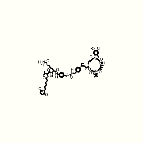 COc1ccc(C[C@H]2NC(=O)/C=C/C[C@@H]([C@H](C)[C@H]3CC[C@@H]3c3ccc(CNC(=O)OCc4ccc(NC(=O)C(CCCNC(N)=O)NC(=O)[C@@H](NC(=O)CCCCCN5C(=O)C=CC5=O)C(C)C)cc4)cc3)OC(=O)[C@H](CC(C)(C)C)NC(=O)C(C)(C)[C@H](C)NC2=O)cc1Cl